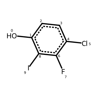 Oc1ccc(Cl)c(F)c1I